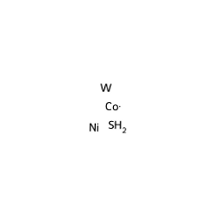 S.[Co].[Ni].[W]